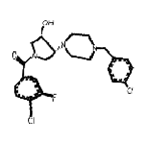 O=C(c1ccc(Cl)c(F)c1)N1C[C@@H](O)[C@H](N2CCN(Cc3ccc(Cl)cc3)CC2)C1